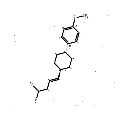 FC(F)CC=C[C@H]1CC[C@H](c2ccc(OC(F)(F)F)cc2)CC1